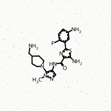 Cn1ncc(NC(=O)c2nc(-c3cc(N)ccc3F)sc2N)c1N1CCC(CN)CC1